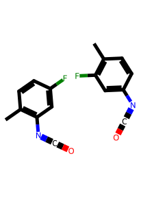 Cc1ccc(F)cc1N=C=O.Cc1ccc(N=C=O)cc1F